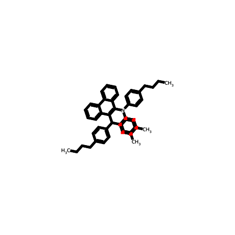 CCCCc1ccc(C(c2ccc(C)cc2)c2c(N(c3ccc(C)cc3)c3ccc(CCCC)cc3)c3ccccc3c3ccccc23)cc1